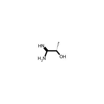 C[C@H](O)C(=N)N